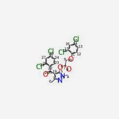 Cc1nn(C)c(OC(=O)COc2ccc(Cl)cc2Cl)c1C(=O)c1ccc(Cl)cc1Cl